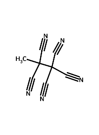 CC(C#N)(C#N)C(C#N)(C#N)C#N